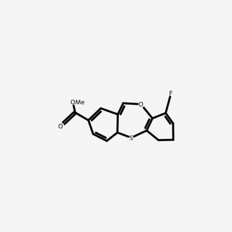 COC(=O)C1=CC2=COC3=C(CCC=C3F)SC2C=C1